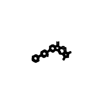 Cc1cc(C)c(/C=C2\C(=O)Nc3ccc(-c4ccc(-c5ccccc5)cn4)cc32)[nH]1